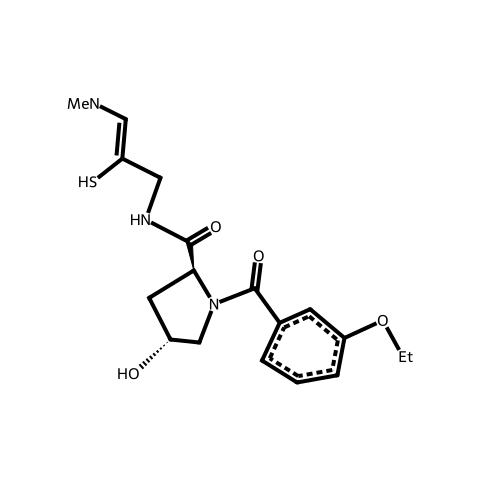 CCOc1cccc(C(=O)N2C[C@H](O)C[C@H]2C(=O)NC/C(S)=C/NC)c1